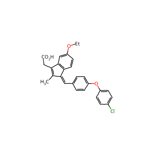 CCOc1ccc2c(c1)C(CC(=O)O)=C(C)/C2=C/c1ccc(Oc2ccc(Cl)cc2)cc1